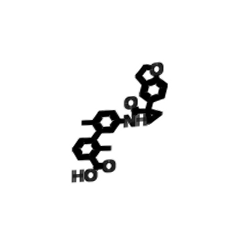 Cc1ccc(NC(=O)C2(c3ccc4c(c3)CCO4)CC2)cc1-c1cccc(C(=O)O)c1C